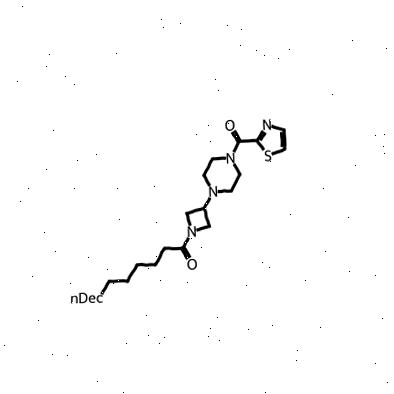 CCCCCCCCCCCCCCCC(=O)N1CC(N2CCN(C(=O)c3nccs3)CC2)C1